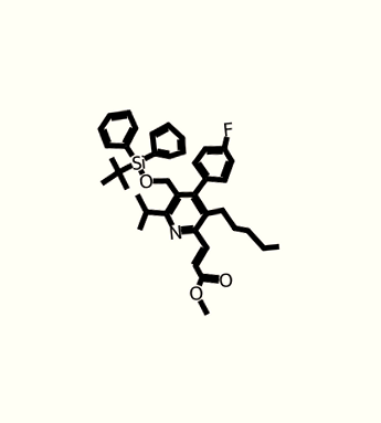 CCCCCc1c(C=CC(=O)OC)nc(C(C)C)c(CO[Si](c2ccccc2)(c2ccccc2)C(C)(C)C)c1-c1ccc(F)cc1